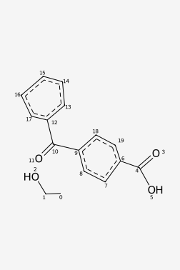 CCO.O=C(O)c1ccc(C(=O)c2ccccc2)cc1